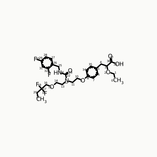 CCOC(Cc1ccc(OCCN(CCOCC(F)(F)CC)C(=O)NCc2ccc(F)cc2F)cc1)C(=O)O